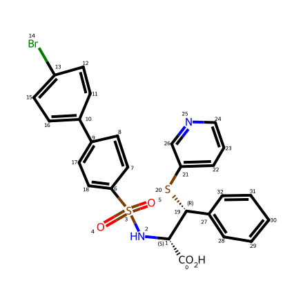 O=C(O)[C@H](NS(=O)(=O)c1ccc(-c2ccc(Br)cc2)cc1)[C@H](Sc1cccnc1)c1ccccc1